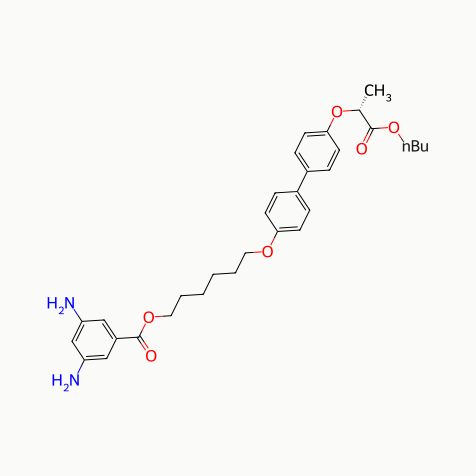 CCCCOC(=O)[C@@H](C)Oc1ccc(-c2ccc(OCCCCCCOC(=O)c3cc(N)cc(N)c3)cc2)cc1